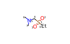 CCS(=O)(=O)CN(C)C